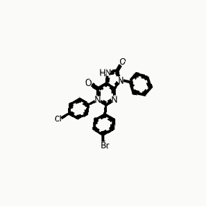 O=c1c2[nH]c(=O)n(-c3ccccc3)c2nc(-c2ccc(Br)cc2)n1-c1ccc(Cl)cc1